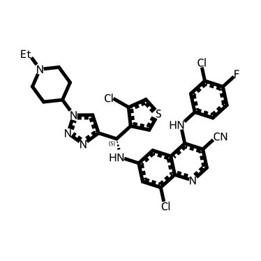 CCN1CCC(n2cc([C@@H](Nc3cc(Cl)c4ncc(C#N)c(Nc5ccc(F)c(Cl)c5)c4c3)c3cscc3Cl)nn2)CC1